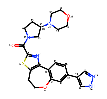 O=C(c1nc2c(s1)CCOc1cc(-c3cn[nH]c3)ccc1-2)N1CC[C@@H](N2CCOCC2)C1